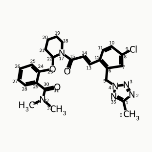 Cc1nnn(Cc2cc(Cl)ccc2/C=C/C(=O)N2CCCCC2Oc2ccccc2C(=O)N(C)C)n1